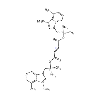 COc1cn(C[C@@](C)(N)OC(=O)/C=C/C(=O)O[C@](C)(N)Cn2cc(OC)c3c(C)cccc32)c2cccc(C)c12